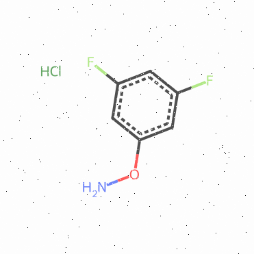 Cl.NOc1cc(F)cc(F)c1